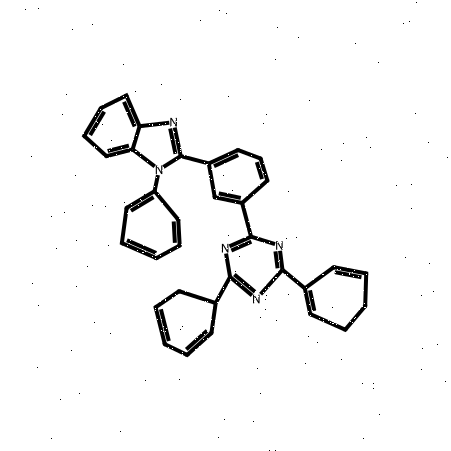 C1=CCC(c2nc(C3=CCCC=C3)nc(-c3cccc(-c4nc5ccccc5n4-c4ccccc4)c3)n2)C=C1